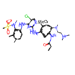 C=CC(=O)Nc1cc(Nc2ncc(Cl)c(Nc3ccc(C)c(C)c3N(C)S(C)(=O)=O)n2)c(OC)cc1N(C)CCN(C)C